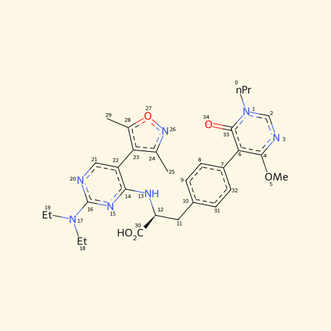 CCCn1cnc(OC)c(-c2ccc(C[C@H](Nc3nc(N(CC)CC)ncc3-c3c(C)noc3C)C(=O)O)cc2)c1=O